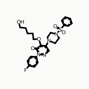 O=c1c(OCCCCCO)c(N2CCN(S(=O)(=O)c3ccccc3)CC2)cnn1-c1ccc(F)cc1